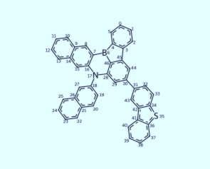 c1ccc2c(c1)B1c3cc4ccccc4cc3N(c3ccc4ccccc4c3)c3cc(-c4ccc5sc6ccccc6c5c4)cc-2c31